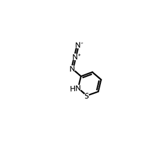 [N-]=[N+]=NC1=CC=CSN1